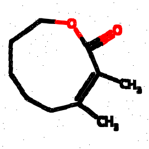 C/C1=C(\C)C(=O)OCCCCC1